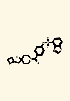 O=C(c1ccc(NS(=O)(=O)c2cccc3scnc23)cc1)N1CCC(O)(CC2CCC2)CC1